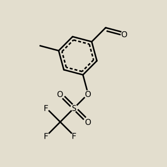 Cc1cc(C=O)cc(OS(=O)(=O)C(F)(F)F)c1